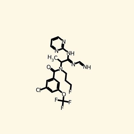 CC(/C(=N/C=N)Nc1ncccn1)N(CCCF)C(=O)c1cc(Cl)cc(OC(F)(F)F)c1